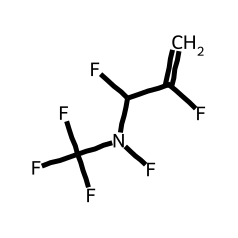 C=C(F)C(F)N(F)C(F)(F)F